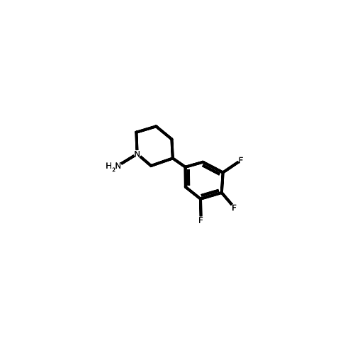 NN1CCCC(c2cc(F)c(F)c(F)c2)C1